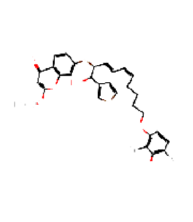 CCCc1c(OCCCC/C=C\C=C\C(Sc2ccc3c(=O)cc(OC(=O)O)oc3c2)C(O)c2ccsc2)ccc(C(C)=O)c1O